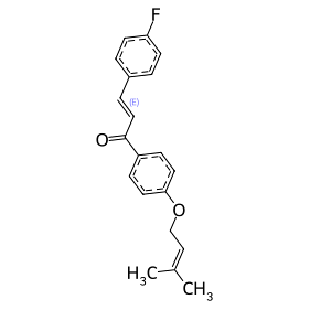 CC(C)=CCOc1ccc(C(=O)/C=C/c2ccc(F)cc2)cc1